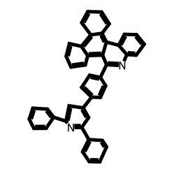 c1ccc(-c2cc(-c3ccc(-c4nc5ccccc5c5c6ccccc6c6ccccc6c45)cc3)cc(-c3ccccc3)n2)cc1